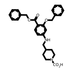 O=C(OCc1ccccc1)c1ccc(NCC2CCN(C(=O)O)CC2)cc1OCc1ccccc1